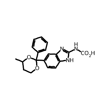 CC1CCOC(c2ccccc2)(c2ccc3[nH]c(NC(=O)O)nc3c2)O1